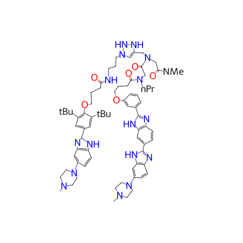 CCCN(CC(=O)N(CC(=O)NC)CC1=CN(CCCNC(=O)CCCOc2c(C(C)(C)C)cc(-c3nc4cc(N5CCN(C)CC5)ccc4[nH]3)cc2C(C)(C)C)NN1)C(=O)CCCOc1cccc(-c2nc3ccc(-c4nc5ccc(N6CCN(C)CC6)cc5[nH]4)cc3[nH]2)c1